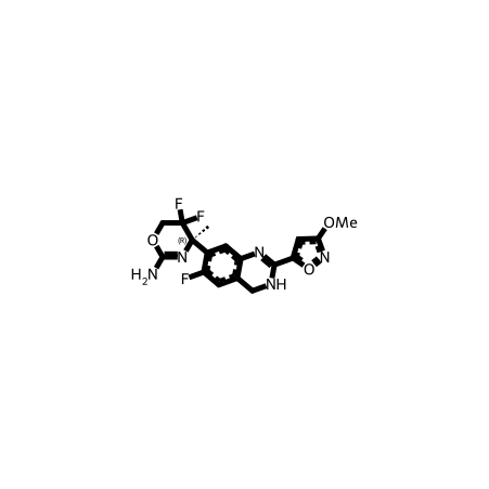 COc1cc(C2=Nc3cc([C@@]4(C)N=C(N)OCC4(F)F)c(F)cc3CN2)on1